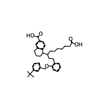 CC(C)(C)c1cccc(COc2ccccc2CCC(CCCCCCC(=O)O)C2CCCc3cc(C(=O)O)ccc32)c1